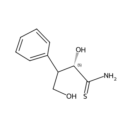 NC(=S)[C@@H](O)C(CO)c1ccccc1